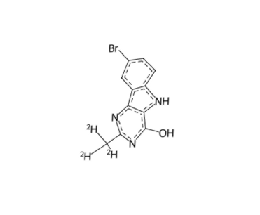 [2H]C([2H])([2H])c1nc(O)c2[nH]c3ccc(Br)cc3c2n1